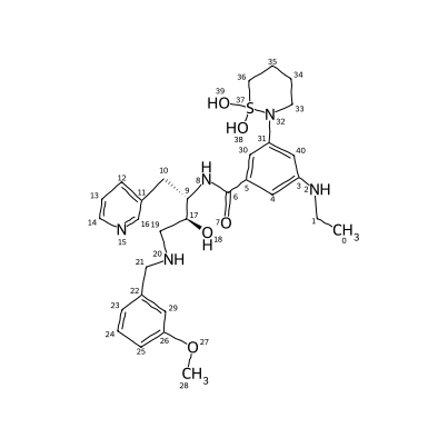 CCNc1cc(C(=O)N[C@@H](Cc2cccnc2)[C@@H](O)CNCc2cccc(OC)c2)cc(N2CCCCS2(O)O)c1